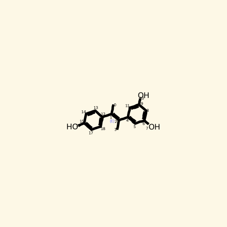 C/C(=C(/C)c1cc(O)cc(O)c1)c1ccc(O)cc1